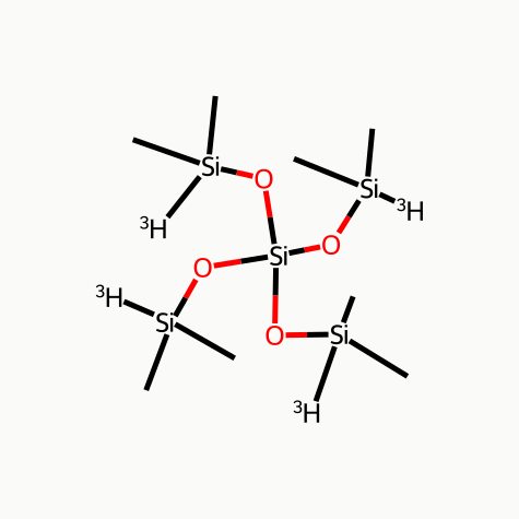 [3H][Si](C)(C)O[Si](O[Si]([3H])(C)C)(O[Si]([3H])(C)C)O[Si]([3H])(C)C